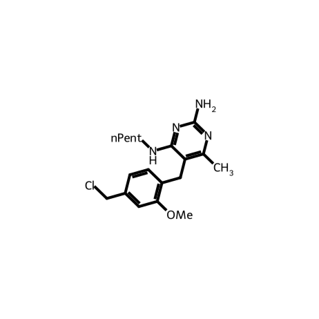 CCCCCNc1nc(N)nc(C)c1Cc1ccc(CCl)cc1OC